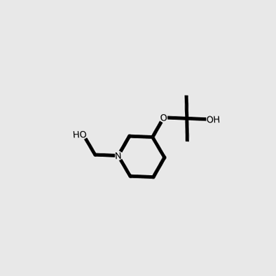 CC(C)(O)OC1CCCN(CO)C1